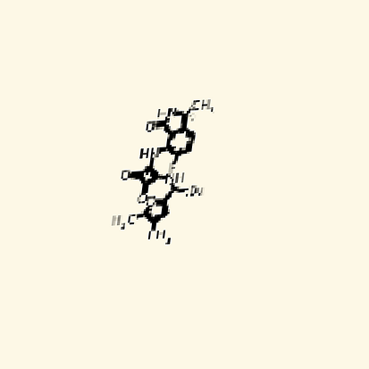 Cc1cc(C(Nc2c(Nc3c(F)ccc4c3C(=O)N[C@H]4C)c(=O)c2=O)C(C)(C)C)oc1C